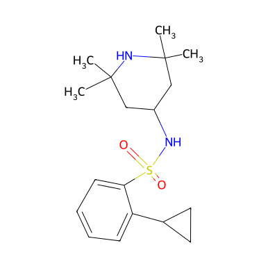 CC1(C)CC(NS(=O)(=O)c2ccccc2C2CC2)CC(C)(C)N1